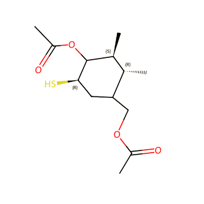 CC(=O)OCC1C[C@@H](S)C(OC(C)=O)[C@@H](C)[C@@H]1C